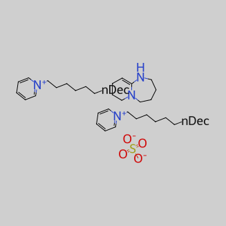 C1=C2NCCCCN2CCC1.CCCCCCCCCCCCCCCC[n+]1ccccc1.CCCCCCCCCCCCCCCC[n+]1ccccc1.O=S(=O)([O-])[O-]